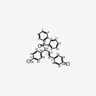 O=P(c1ccccc1)(c1ccccc1)C(/C=C/c1ccc(Cl)cc1)c1ccc(Cl)cc1